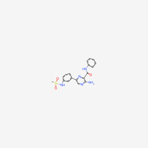 CS(=O)(=O)Nc1cccc(-c2cnc(N)c(C(=O)Nc3ccccc3)n2)c1